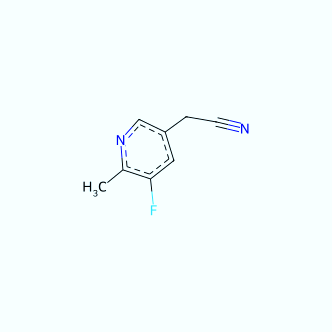 Cc1ncc(CC#N)cc1F